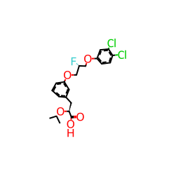 CC(C)O[C@@H](Cc1cccc(OC[C@H](F)COc2ccc(Cl)c(Cl)c2)c1)C(=O)O